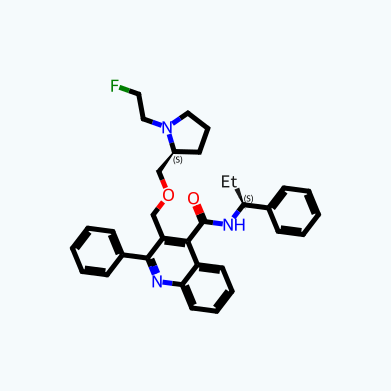 CC[C@H](NC(=O)c1c(COC[C@@H]2CCCN2CCF)c(-c2ccccc2)nc2ccccc12)c1ccccc1